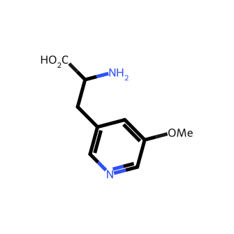 COc1cncc(CC(N)C(=O)O)c1